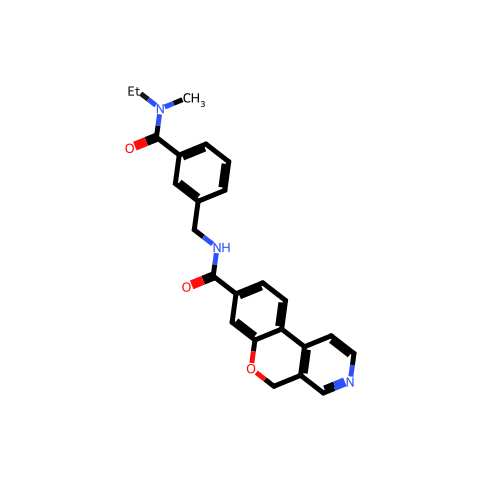 CCN(C)C(=O)c1cccc(CNC(=O)c2ccc3c(c2)OCc2cnccc2-3)c1